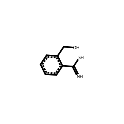 N=C(S)c1ccccc1CO